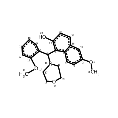 COc1ccc2c(C(c3ccccc3OC)N3CCOCC3)c(O)ccc2c1